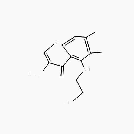 CCOC(=O)c1c[nH]c2cc(Cl)c(F)c(NCCC=O)c2c1=O